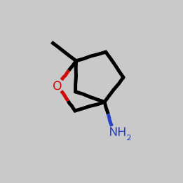 CC12CCC(N)(CO1)C2